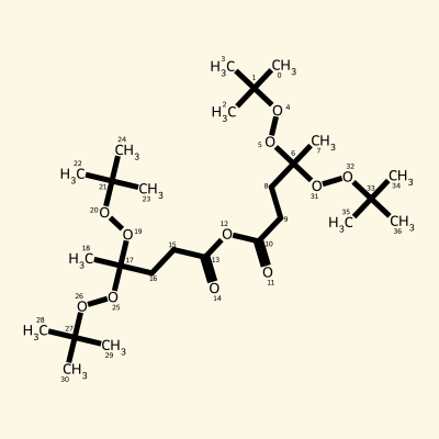 CC(C)(C)OOC(C)(CCC(=O)OC(=O)CCC(C)(OOC(C)(C)C)OOC(C)(C)C)OOC(C)(C)C